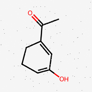 CC(=O)C1=CC(O)=CCC1